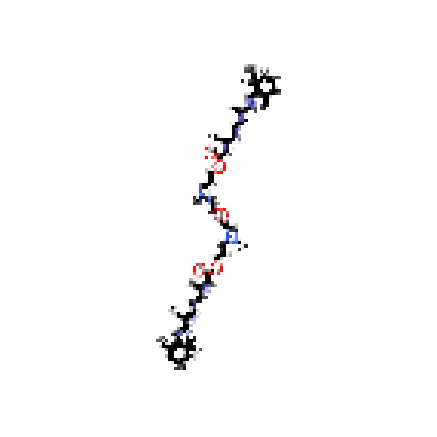 CC1=C(/C=C/C(C)=C/C=C/C(C)=C/C(=O)OCCCN(C)CCOCCN(C)CCCOC(=O)/C=C(C)/C=C/C=C(C)/C=C/C2=C(C)CCCC2(C)C)C(C)(C)CCC1